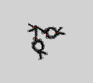 C=CCCCCC1C=CC(CCCCCCCC(=O)OCC2COC(=O)CCCCCCCC3C=CC(CCCCC=C)C(CCCCC=C)C3C=CCCCCCCCC(=O)O2)C(C=CCCCCCCCC(=O)OCC2COC(=O)CCCCCCCC=CC3C(C=CC(CCCCC=C)C3CCCCC=C)CCCCCCCC(=O)O2)C1CCCCC=C